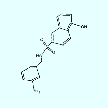 Nc1cccc(CNS(=O)(=O)c2ccc3c(O)cccc3c2)c1